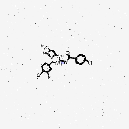 O=C(/N=C(/NCc1ccc(Cl)c(F)c1)Nc1cc(C(F)(F)F)[nH]n1)c1ccc(Cl)cc1